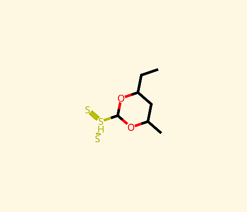 CCC1CC(C)OC([SH](=S)=S)O1